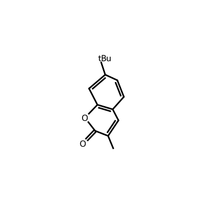 Cc1cc2ccc(C(C)(C)C)cc2oc1=O